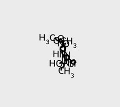 CCCC(CO)Nc1nc(Nc2ccc(S(C)(=O)=NC(=O)OCC)cc2)ncc1-c1cccs1